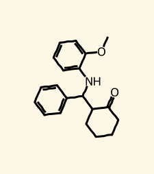 COc1ccccc1NC(c1ccccc1)C1CCCCC1=O